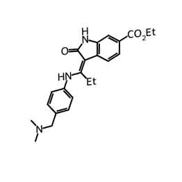 CCOC(=O)c1ccc2c(c1)NC(=O)/C2=C(/CC)Nc1ccc(CN(C)C)cc1